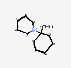 O=CC1(N2CCCCC2)CCCCC1